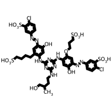 CC(CO)CCNc1nc(Nc2cc(O)c(N=Nc3ccc(Cl)c(S(=O)(=O)O)c3)cc2CCCCS(=O)(=O)O)nc(Nc2cc(O)c(N=Nc3ccc(Cl)c(S(=O)(=O)O)c3)cc2OCCCS(=O)(=O)O)n1